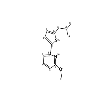 COc1cccc(-c2ccc(CC(C)C)s2)n1